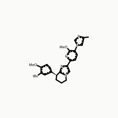 COc1ccc([C@@H]2CCCn3cc(-c4ccc(-n5cnc(C)c5)c(OC)n4)nc32)cc1C(C)(C)C